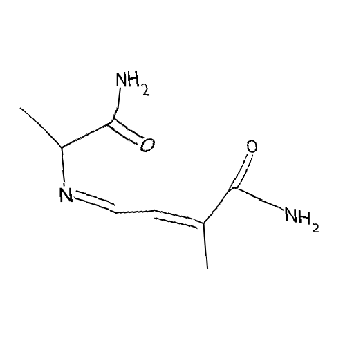 C/C(=C\C=N/C(C)C(N)=O)C(N)=O